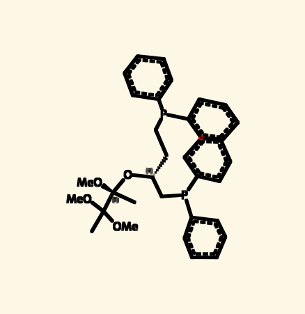 COC(C)(OC)[C@](C)(OC)O[C@H](CCP(c1ccccc1)c1ccccc1)CP(c1ccccc1)c1ccccc1